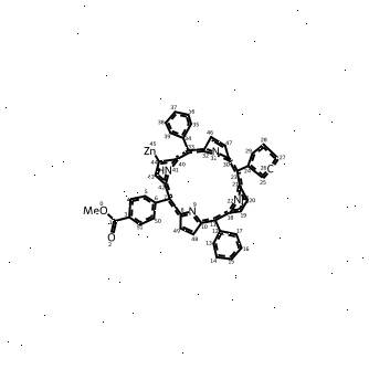 COC(=O)c1ccc(-c2c3nc(c(-c4ccccc4)c4ccc([nH]4)c(-c4ccccc4)c4nc(c(-c5ccccc5)c5[nH]c2c[c]5[Zn])C=C4)C=C3)cc1